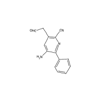 N#Cc1nc(-c2ccccc2)c(N)cc1CC=O